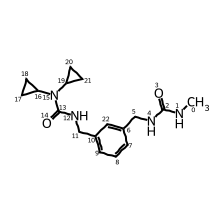 CNC(=O)NCc1cccc(CNC(=O)N(C2CC2)C2CC2)c1